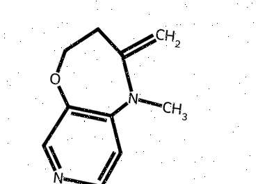 C=C1CCOc2cnccc2N1C